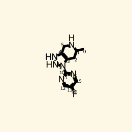 CC1CC2=C(CN1)NNN2c1ncc(F)cn1